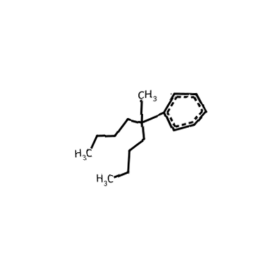 CCCCC(C)(CCCC)c1[c]cccc1